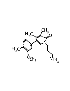 CCCCn1cc(-c2ccc(C)c(OC)c2)c(C)c(C)c1=O